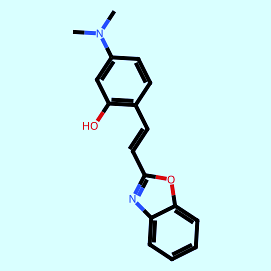 CN(C)c1ccc(/C=C/c2nc3ccccc3o2)c(O)c1